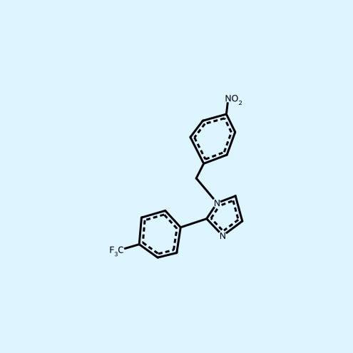 O=[N+]([O-])c1ccc(Cn2ccnc2-c2ccc(C(F)(F)F)cc2)cc1